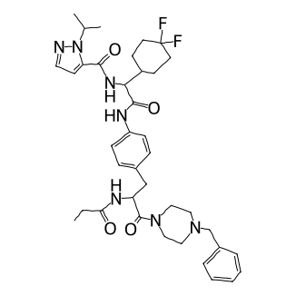 CCC(=O)NC(Cc1ccc(NC(=O)C(NC(=O)c2ccnn2C(C)C)C2CCC(F)(F)CC2)cc1)C(=O)N1CCN(Cc2ccccc2)CC1